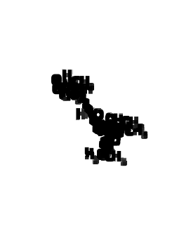 C[C@H](NC(=O)CCCCCNC(=O)Cc1ccc(-c2c3ccc(=[N+](C)C)cc-3oc3cc(N(C)C)ccc23)c(C(=O)O)c1)C(=O)N[C@@H]1C(=O)O[C@@H]1C